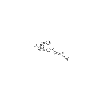 CC(C)c1cnn2c(NC3CCN(C(=O)OCC4(F)CN(C(=O)/C=C/CN(C)C)C4)CC3)cc(NC3CCOCC3)nc12